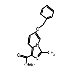 COC(=O)c1nc(C(F)(F)F)n2cc(OCc3ccccc3)ccc12